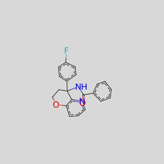 O=C(NC1(c2ccc(F)cc2)CCOc2cccnc21)c1ccccc1